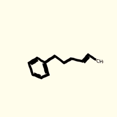 [CH]/C=C/CCCc1ccccc1